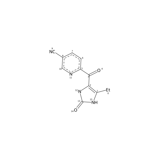 CCC1=C(C(=O)c2ccc(C#N)cn2)[N]C(=O)N1